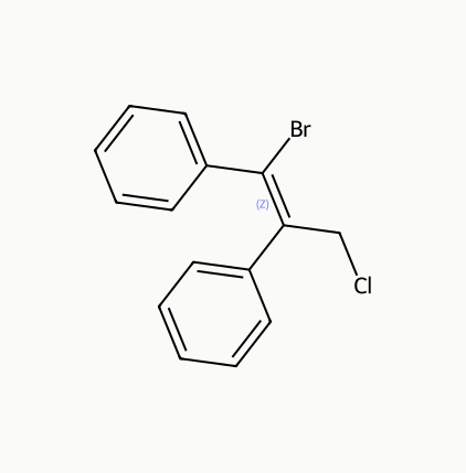 ClC/C(=C(\Br)c1ccccc1)c1ccccc1